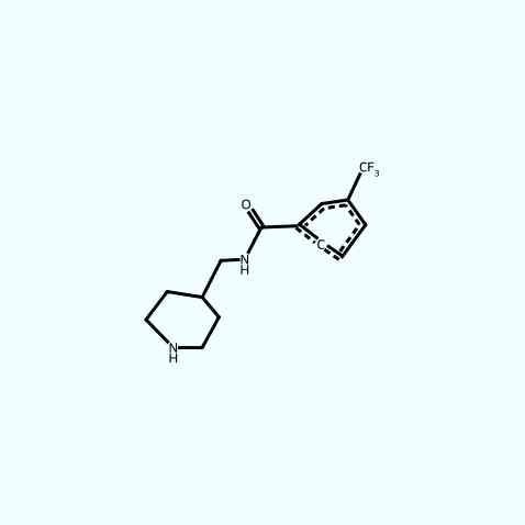 O=C(NCC1CCNCC1)c1cccc(C(F)(F)F)c1